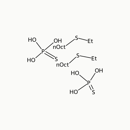 CCCCCCCCSCC.CCCCCCCCSCC.OP(O)(O)=S.OP(O)(O)=S